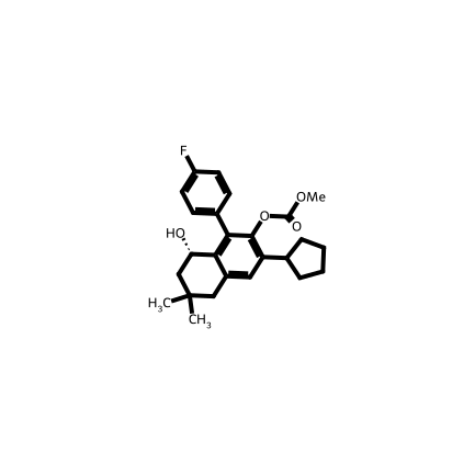 COC(=O)Oc1c(C2CCCC2)cc2c(c1-c1ccc(F)cc1)[C@@H](O)CC(C)(C)C2